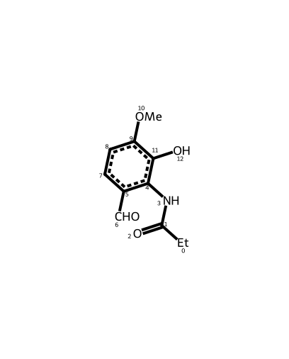 CCC(=O)Nc1c(C=O)ccc(OC)c1O